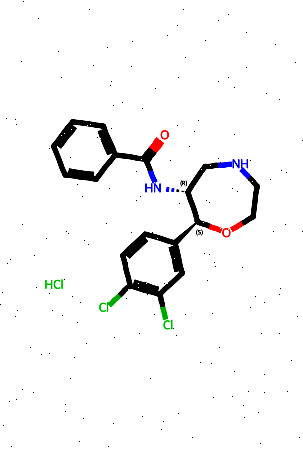 Cl.O=C(N[C@@H]1CNCCO[C@H]1c1ccc(Cl)c(Cl)c1)c1ccccc1